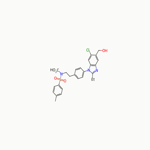 CCc1nc2cc(CO)c(Cl)cc2n1-c1ccc(CCN(C(=O)O)S(=O)(=O)c2ccc(C)cc2)cc1